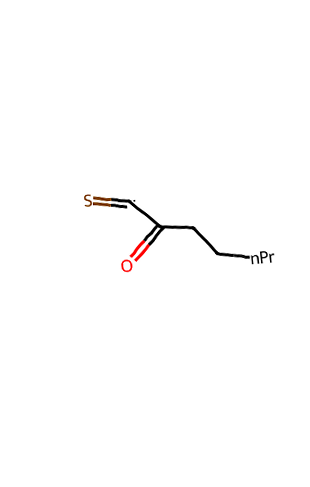 CCCCCC(=O)[C]=S